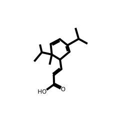 CC(C)C1=CC(/C=C/C(=O)O)C(C)(C(C)C)C=C1